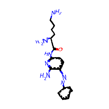 NCCCC[C@H](N)C(=O)Nc1ccc(/N=N/c2ccccc2)c(N)n1